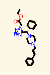 CCOC(=O)Cn1nnnc1[C@H](C1C=CC=CC1)N1CCN(C/C=C/c2ccccc2)CC1